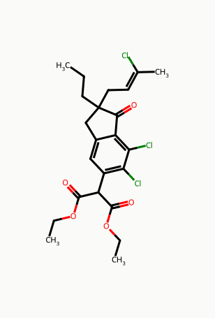 CCCC1(CC=C(C)Cl)Cc2cc(C(C(=O)OCC)C(=O)OCC)c(Cl)c(Cl)c2C1=O